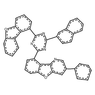 c1ccc(-c2cnc3c(c2)oc2cccc(-c4nc(-c5ccc6ccccc6c5)nc(-c5cccc6oc7ccccc7c56)n4)c23)cc1